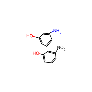 Nc1cccc(O)c1.O=[N+]([O-])c1cccc(O)c1